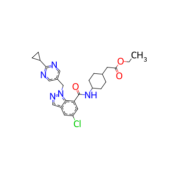 CCOC(=O)CC1CCC(NC(=O)c2cc(Cl)cc3cnn(Cc4cnc(C5CC5)nc4)c23)CC1